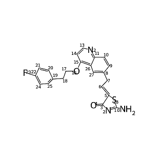 NC1=NC(=O)/C(=C/Cc2ccc3nccc(OCCc4ccc(F)cc4)c3c2)S1